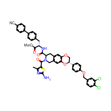 COC(=O)[C@H](Cc1ccc(-c2ccc(C#N)cc2)cc1)NC(=O)C1Cc2cc3c(cc2CN1C(=O)c1sc(N)nc1C)O[C@@H](c1ccc(OCc2ccc(Cl)c(Cl)c2)cc1)CO3